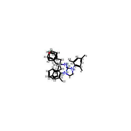 Cc1cc(C)c(N2CCN(c3c(C)cc(C)cc3C)C2=[N][Zr]([CH2]c2ccccc2)([CH2]c2ccccc2)[CH2]c2ccccc2)c(C)c1